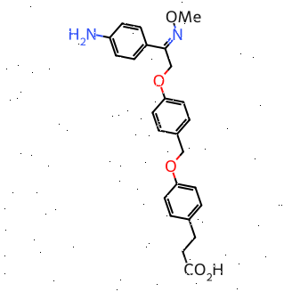 CO/N=C(/COc1ccc(COc2ccc(CCC(=O)O)cc2)cc1)c1ccc(N)cc1